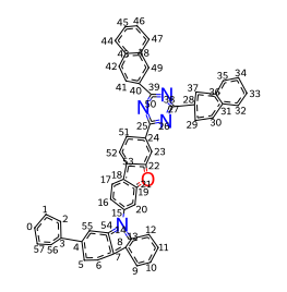 c1ccc(-c2ccc3c4ccccc4n(-c4ccc5c(c4)oc4cc(-c6nc(-c7ccc8ccccc8c7)nc(-c7ccc8ccccc8c7)n6)ccc45)c3c2)cc1